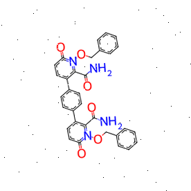 NC(=O)c1c(-c2ccc(-c3ccc(=O)n(OCc4ccccc4)c3C(N)=O)cc2)ccc(=O)n1OCc1ccccc1